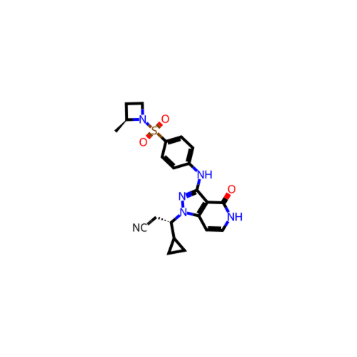 C[C@H]1CCN1S(=O)(=O)c1ccc(Nc2nn([C@@H](CC#N)C3CC3)c3cc[nH]c(=O)c23)cc1